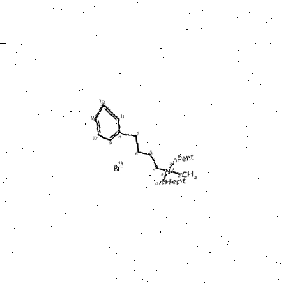 CCCCCCC[N+](C)(CCCCC)CCCCc1ccccc1.[Br-]